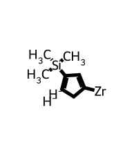 C[Si](C)(C)C1=CC[C]([Zr])=C1.[H-].[H-]